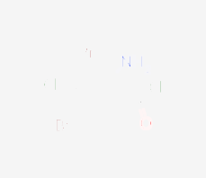 Nc1c(C(=O)Cl)cc(Br)c(Cl)c1Br